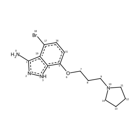 Nc1n[nH]c2c(OCCCN3CCCC3)ccc(Br)c12